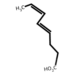 C/C=C\C=C\CCC(=O)O